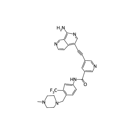 CN1CCN(Cc2ccc(NC(=O)c3cncc(C#Cc4cnc(N)c5cnccc45)c3)cc2C(F)(F)F)CC1